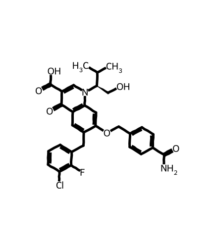 CC(C)[C@@H](CO)n1cc(C(=O)O)c(=O)c2cc(Cc3cccc(Cl)c3F)c(OCc3ccc(C(N)=O)cc3)cc21